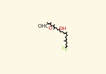 C/C(C=O)=C(\C)C(=O)/C(C)=C(\C)CC[C@@H](O)CC/C=C(\C)CC/C=C(\C)CCC=C(F)F